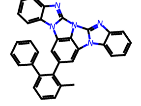 Cc1cccc(-c2ccccc2)c1-c1cc2c3c(c1)n1c4ccccc4nc1n3c1nc3ccccc3n21